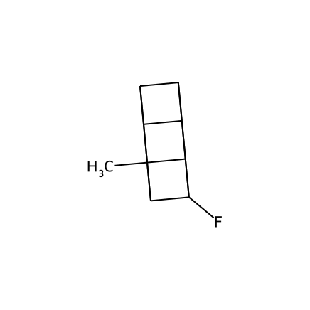 CC12C3C4C5C3C1C5(F)C42